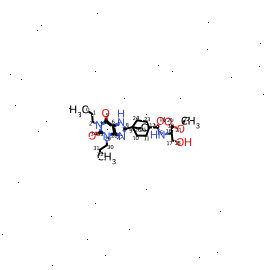 CCCn1c(=O)c2[nH]c(C34CCC(C(=O)NC(CO)C(=O)OC)(CC3)CC4)nc2n(CCC)c1=O